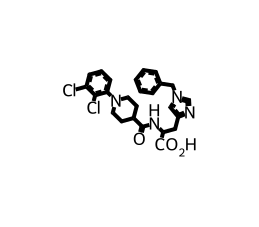 O=C(NC(Cc1cn(Cc2ccccc2)cn1)C(=O)O)C1CCN(c2cccc(Cl)c2Cl)CC1